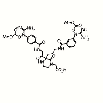 COC(=O)ON(C(=N)N)c1ccc(C(=O)NCC(=O)C2(CCCNC(=O)c3cccc(N(OC(=O)OC)C(=N)N)c3)NCCN(CC(=O)O)C2=O)cc1